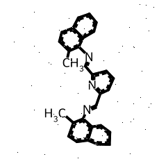 Cc1ccc2ccccc2c1N=Cc1cccc(C=Nc2c(C)ccc3ccccc23)n1